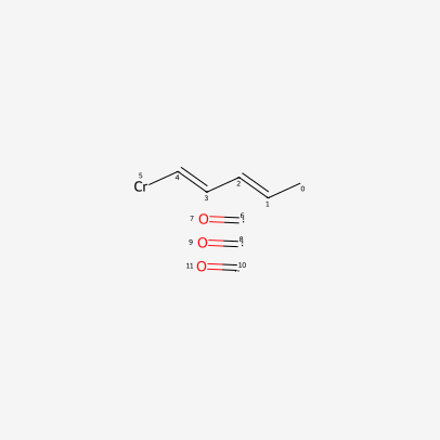 CC=CC=[CH][Cr].[C]=O.[C]=O.[C]=O